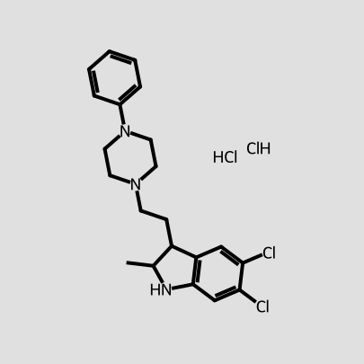 CC1Nc2cc(Cl)c(Cl)cc2C1CCN1CCN(c2ccccc2)CC1.Cl.Cl